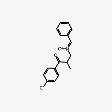 CC(C[N+]([O-])=Cc1ccccc1)C(=O)c1ccc(Cl)cc1